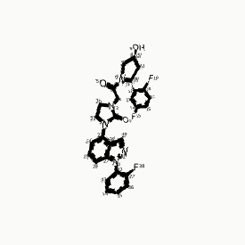 O=C1N(CC(=O)N2C[C@@H](O)C[C@@H]2c2cc(F)ccc2F)CCN1c1cccc2c1cnn2-c1ccccc1F